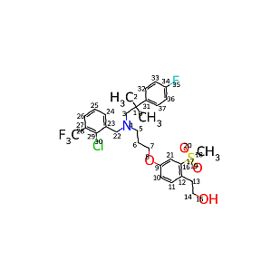 CC(C)(CN(CCCOc1ccc(CCO)c(S(C)(=O)=O)c1)Cc1cccc(C(F)(F)F)c1Cl)c1ccc(F)cc1